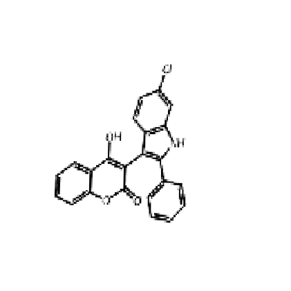 O=c1oc2ccccc2c(O)c1-c1c(-c2ccccc2)[nH]c2cc(Cl)ccc12